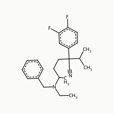 CCN(Cc1ccccc1)C(C)CCC(C#N)(c1ccc(F)c(F)c1)C(C)C